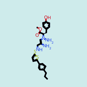 CCCc1ccc(-c2ccc(SNC/C(N)=C/N(N)[C@H](Cc3ccc(O)cc3)C(=O)OC)s2)cc1